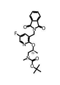 C[C@@H](CN(C)C(=O)OC(C)(C)C)Oc1ncc(F)cc1CN1C(=O)c2ccccc2C1=O